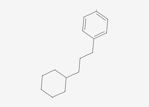 [c]1ccc(CCCC2CCCCC2)cc1